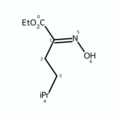 CCOC(=O)C(CCC(C)C)=NO